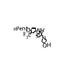 CCCCCOc1ccc(Nc2nc(CN3CCC(O)CC3)cs2)cc1C(F)(F)F